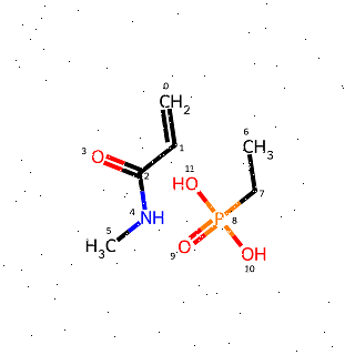 C=CC(=O)NC.CCP(=O)(O)O